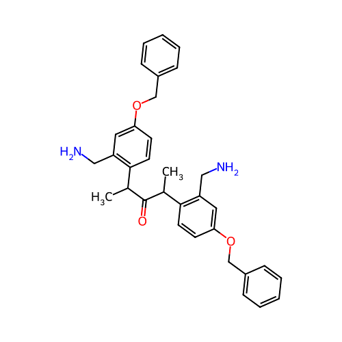 CC(C(=O)C(C)c1ccc(OCc2ccccc2)cc1CN)c1ccc(OCc2ccccc2)cc1CN